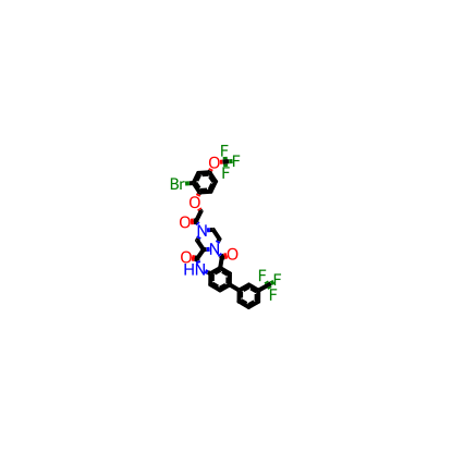 O=C1Nc2ccc(-c3cccc(C(F)(F)F)c3)cc2C(=O)N2CCN(C(=O)COc3ccc(OC(F)(F)F)cc3Br)CC12